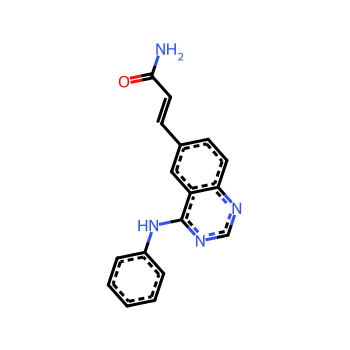 NC(=O)C=Cc1ccc2ncnc(Nc3ccccc3)c2c1